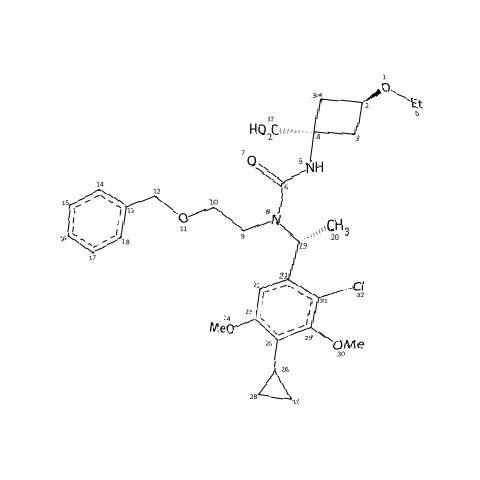 CCO[C@H]1C[C@](NC(=O)N(CCOCc2ccccc2)[C@H](C)c2cc(OC)c(C3CC3)c(OC)c2Cl)(C(=O)O)C1